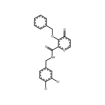 O=C(NCc1ccc(Cl)c(Cl)c1)c1occc(=O)c1OCc1ccccc1